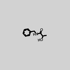 CC(O)C(=O)NCc1ccccc1